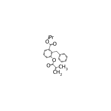 C=C(C)C(=O)Oc1cccc(C(=O)OC(C)C)c1Cc1ccccc1